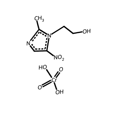 Cc1ncc([N+](=O)[O-])n1CCO.[O]=[Cr](=[O])([OH])[OH]